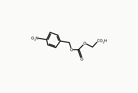 O=C(O)COC(=O)OCc1ccc([N+](=O)[O-])cc1